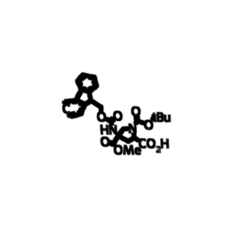 COC(=O)C1(NC(=O)OCC2c3ccccc3-c3ccccc32)CC(C(=O)O)N(C(=O)OC(C)(C)C)C1